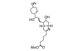 CCC[C@H]1CC[C@@H]([C@H](O)/C=C/[C@H]2C(O)C[C@@H]3N=C(CCCCC(=O)OC)C[C@@H]32)CC1